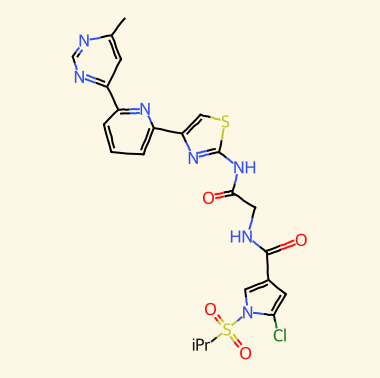 Cc1cc(-c2cccc(-c3csc(NC(=O)CNC(=O)c4cc(Cl)n(S(=O)(=O)C(C)C)c4)n3)n2)ncn1